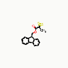 CC1(C(=O)OCC2c3ccccc3-c3ccccc32)SS1